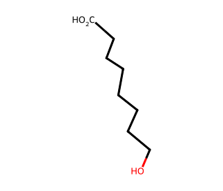 O=C(O)CCCCCCCO